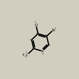 FC(F)(F)c1cc(Cl)c(Br)cn1